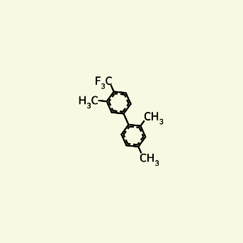 Cc1ccc(-c2ccc(C(F)(F)F)c(C)c2)c(C)c1